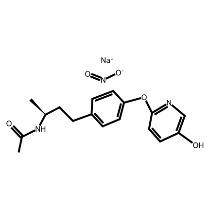 CC(=O)N[C@@H](C)CCc1ccc(Oc2ccc(O)cn2)cc1.O=N[O-].[Na+]